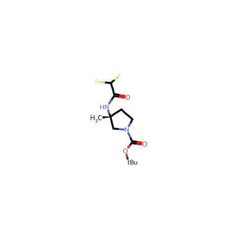 CC(C)(C)OC(=O)N1CC[C@@](C)(NC(=O)C(F)F)C1